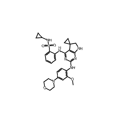 COc1cc(N2CCOCC2)ccc1Nc1nc2c(c(Nc3ccccc3S(=O)(=O)NC3CC3)n1)C1(CC1)CN2